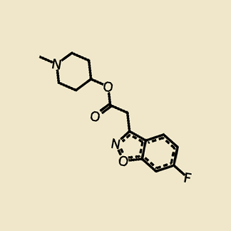 CN1CCC(OC(=O)Cc2noc3cc(F)ccc23)CC1